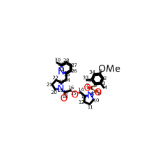 COc1cc(C)c(S(=O)(=O)N2CCCC2COCC(=O)N2CCCC2Cc2cccc(C)n2)c(C)c1